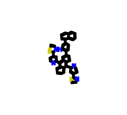 C1=CSC(c2ccnc(-c3c4ccccc4c(-c4cc(-c5nccs5)ccn4)c4ccc(-c5ccc(-c6cccc7ccccc67)cc5)cc34)c2)N1